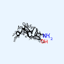 CC(=O)O[C@H]1C[C@@]2(C)[C@@H](CC[C@H]3[C@@]4(C)CC[C@@H](O)[C@@H](CN)[C@@H]4CC[C@@]32C)/C1=C(\Cc1ccccc1)C(C)=O